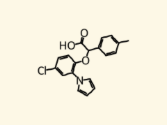 Cc1ccc(C(Oc2ccc(Cl)cc2-n2cccc2)C(=O)O)cc1